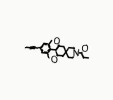 CC#Cc1cc(C)c(C2C(=O)CC3(CCN(C(=O)CC)CC3)CC2=O)c(C)c1